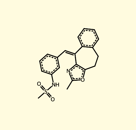 Cc1nc2c(o1)CCc1ccccc1/C2=C/c1cccc(NS(C)(=O)=O)c1